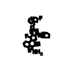 N#Cc1c(N)sc2c1C(c1c(Cl)cc3c(N4CC5CCC(C4)N5)nc(OC[C@@]45CCCN4C[C@H](F)C5)nc3c1F)CCC2